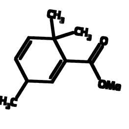 COC(=O)C1=CC(C)C=CC1(C)C